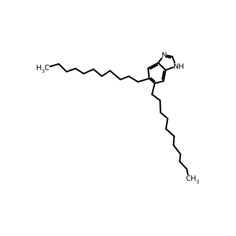 CCCCCCCCCCCc1cc2nc[nH]c2cc1CCCCCCCCCCC